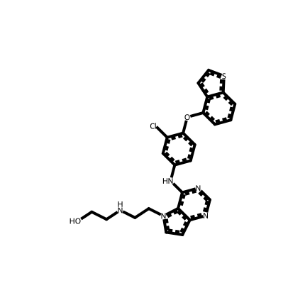 OCCNCCn1ccc2ncnc(Nc3ccc(Oc4cccc5sccc45)c(Cl)c3)c21